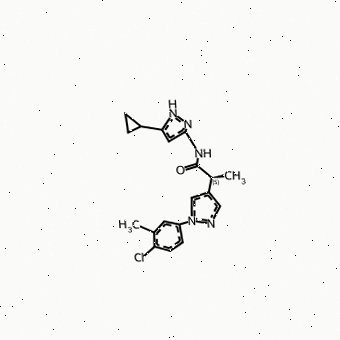 Cc1cc(-n2cc([C@H](C)C(=O)Nc3cc(C4CC4)[nH]n3)cn2)ccc1Cl